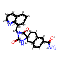 NC(=O)c1ccc2c(c1)CCC1(C2)NC(=O)N(Cc2cccc3cccnc23)C1=O